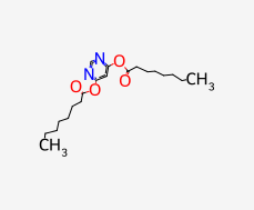 CCCCCCCC(=O)Oc1cc(OC(=O)CCCCCCC)ncn1